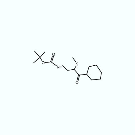 CSC(CCNC(=O)OC(C)(C)C)C(=O)C1CCCCC1